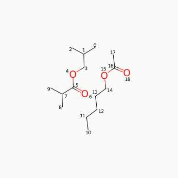 CC(C)COC(=O)C(C)C.CCCCCOC(C)=O